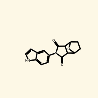 O=C1C2C3CCC(O3)C2C(=O)N1c1ccc2[nH]ccc2c1